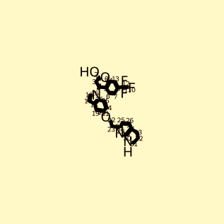 O=C(O)CC(c1ccc(C(F)(F)F)cc1)n1ccc2cc(OCCc3ccc4c(n3)NCCC4)ccc21